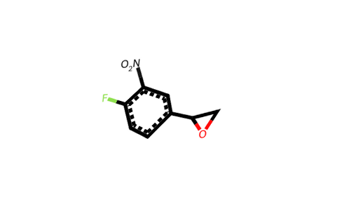 O=[N+]([O-])c1cc(C2CO2)ccc1F